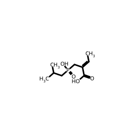 CC=C(CP(=O)(O)CC(C)C)C(=O)O